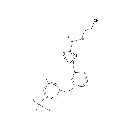 O=C(NCCO)c1ccn(-c2cc(Cc3cc(F)cc(C(F)(F)F)c3)ccn2)n1